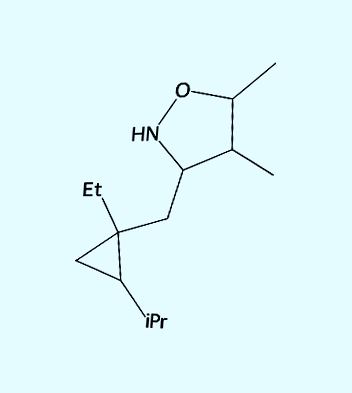 CCC1(CC2NOC(C)C2C)CC1C(C)C